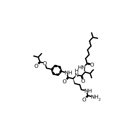 CC(C)CCCCCC(=O)N[C@H](C(=O)N[C@@H](CCCNC(N)=O)C(=O)Nc1ccc(COC(=O)C(C)C)cc1)C(C)C